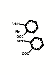 CC(=O)Nc1ccccc1C(=O)[O-].CC(=O)Nc1ccccc1C(=O)[O-].[Pb+2]